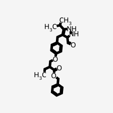 CCC(COc1ccc(CC2=C(C(C)C)NNC2C=O)cc1)C(=O)OCc1ccccc1